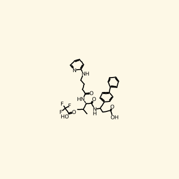 CC(C)[C@@H](NC(=O)CCCNc1ccccn1)C(=O)NC(CC(=O)O)c1ccc(-c2ccccc2)cc1.O=C(O)C(F)(F)F